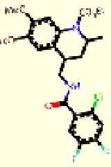 CCOC(=O)N1c2cc(OC)c(OC)cc2C(CNC(=O)c2cc(F)c(F)cc2Cl)CC1C